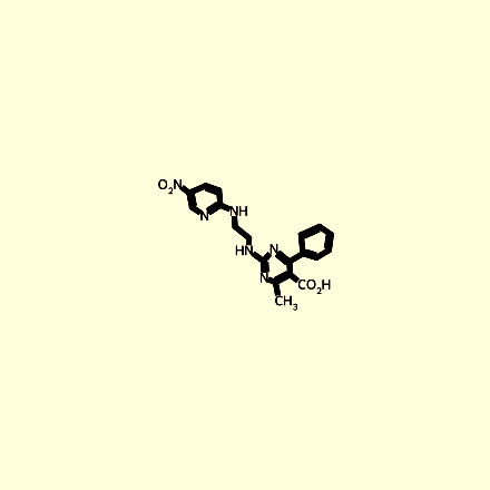 Cc1nc(NCCNc2ccc([N+](=O)[O-])cn2)nc(-c2ccccc2)c1C(=O)O